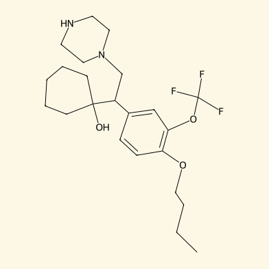 CCCCOc1ccc(C(CN2CCNCC2)C2(O)CCCCC2)cc1OC(F)(F)F